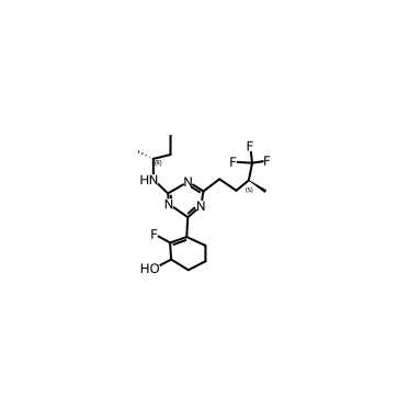 CC[C@@H](C)Nc1nc(CC[C@H](C)C(F)(F)F)nc(C2=C(F)C(O)CCC2)n1